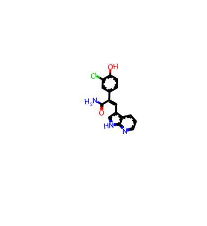 NC(=O)/C(=C\c1c[nH]c2ncccc12)c1ccc(O)c(Cl)c1